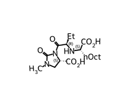 CCCCCCCC[C@H](N[C@H](CC)C(=O)N1C(=O)N(C)C[C@H]1C(=O)O)C(=O)O